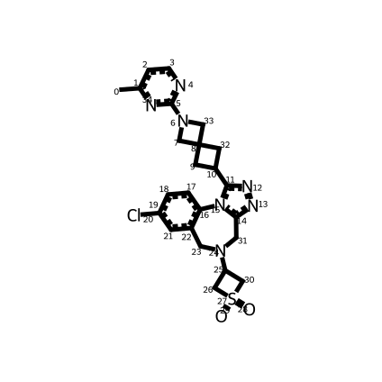 Cc1ccnc(N2CC3(CC(c4nnc5n4-c4ccc(Cl)cc4CN(C4CS(=O)(=O)C4)C5)C3)C2)n1